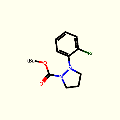 CC(C)(C)OC(=O)N1CCCN1c1ccccc1Br